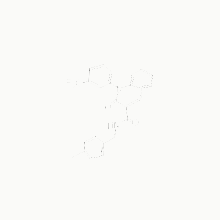 Cc1ccc(CNC(=O)c2cc3ccccc3n(-c3cccc(C(F)(F)F)c3)c2=O)cc1